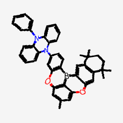 Cc1cc2c3c(c1)Oc1cc4c(cc1B3c1ccc(N3c5ccccc5N(c5ccccc5)c5ccccc53)cc1O2)C(C)(C)CCC4(C)C